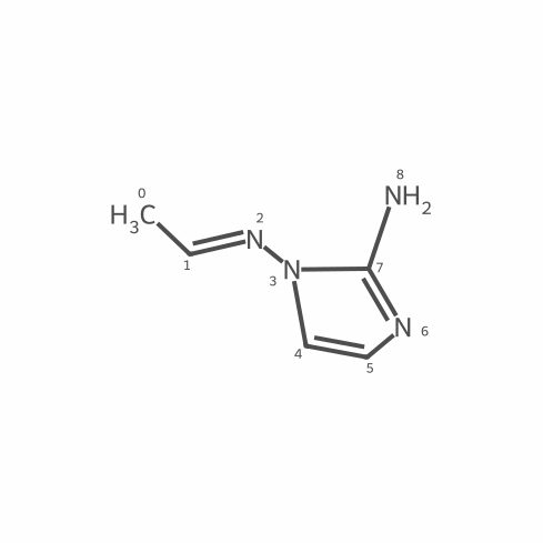 CC=Nn1ccnc1N